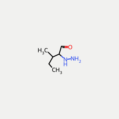 CCC(C)C(C=O)NN